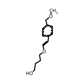 COCc1ccc(/C=C/OCCCCO)cc1